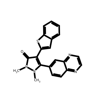 Cn1c(-c2ccc3nccnc3c2)c(-c2cc3ccccc3s2)c(=O)n1C